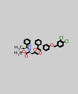 CC[C@H](N[C@@H](CC1=COC=C(C2=CC=CC[C@@H]2c2cccc(OCc3ccc(Cl)c(Cl)c3)c2)O1)C(=O)OC)c1ccccc1